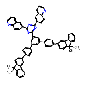 CC1(C)c2ccccc2-c2cc(-c3ccc(-c4cc(-c5ccc(-c6ccc7c(c6)-c6ccccc6C7(C)C)cc5)cc(-c5nc(-c6ccc7ncccc7c6)nc(-c6ccc7ncccc7c6)n5)c4)cc3)ccc21